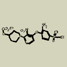 CCOC(=O)OC1CCN(c2nccc(Oc3ccc(S(=O)(=O)CC)cc3N)c2[N+](=O)[O-])CC1